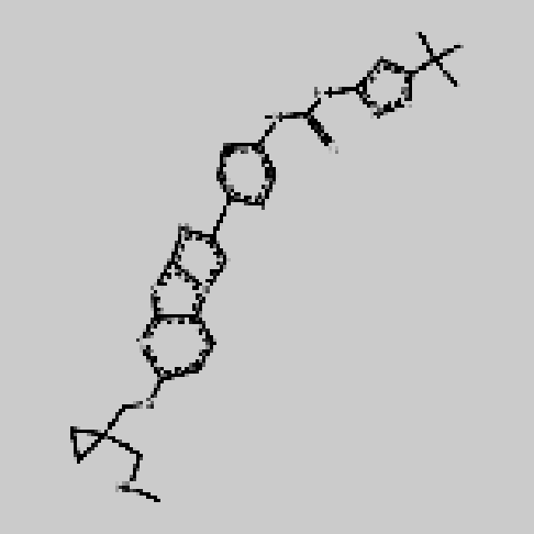 CNCC1(COc2ccc3c(n2)sc2nc(-c4ccc(NC(=O)Nc5cc(C(C)(C)C)on5)cc4)cn23)CC1